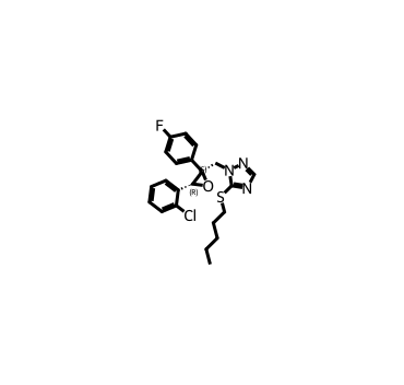 CCCCCSc1ncnn1C[C@]1(c2ccc(F)cc2)O[C@@H]1c1ccccc1Cl